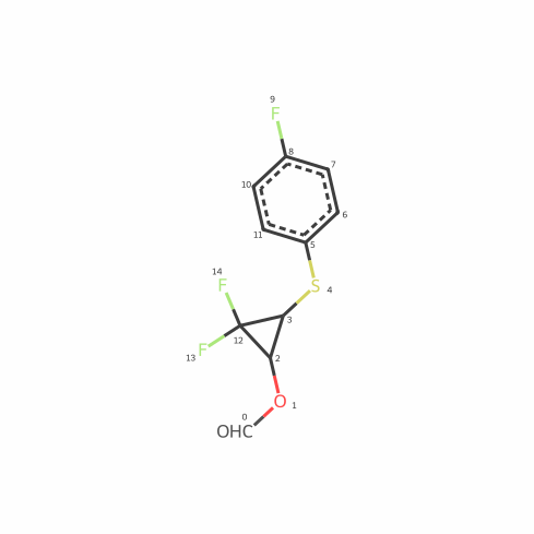 O=COC1C(Sc2ccc(F)cc2)C1(F)F